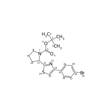 CC(C)(C)OC(=O)N1CCCC1c1nc(-c2ccc(Br)cc2)cs1